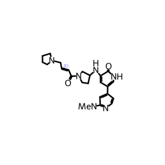 CNc1cc(-c2c[nH]c(=O)c(NC3CCN(C(=O)/C=C/CN4CCCC4)C3)c2)ccn1